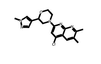 Cc1cc2c(Cl)cc(N3CCOC(c4cnn(C)c4)C3)nc2nc1C